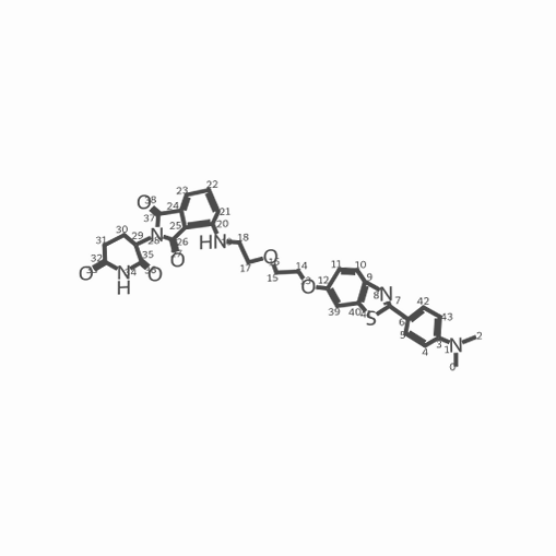 CN(C)c1ccc(-c2nc3ccc(OCCOCCNc4cccc5c4C(=O)N(C4CCC(=O)NC4=O)C5=O)cc3s2)cc1